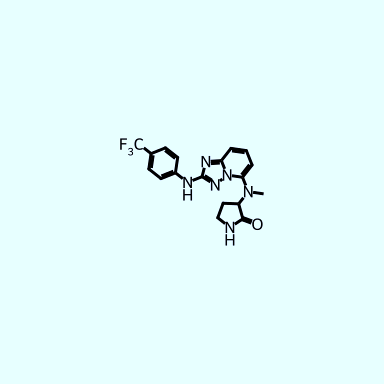 CN(c1cccc2nc(Nc3ccc(C(F)(F)F)cc3)nn12)C1CCNC1=O